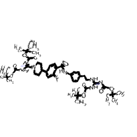 CC(C)(C)OC(=O)/N=C(/NCCc1ccc(NC(=O)c2ccc(C3=CCN(/C(=N\C(=O)OC(C)(C)C)NC(=O)OC(C)(C)C)CC3)cc2F)cc1)NC(=O)OC(C)(C)C